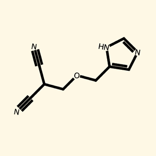 N#CC(C#N)COCc1cnc[nH]1